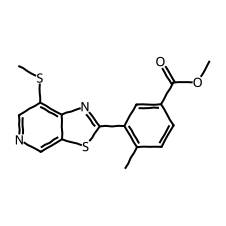 COC(=O)c1ccc(C)c(-c2nc3c(SC)cncc3s2)c1